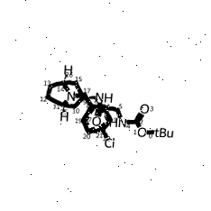 CC(C)(C)OC(=O)NCC(=O)N[C@H]1C[C@H]2CC[C@@H](C1)N2Cc1ccc(Cl)cc1